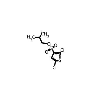 CC(C)COS(=O)(=O)c1cc(Cl)sc1Cl